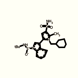 Cc1c(S(N)(=O)=O)cc(-c2cn([S+]([O-])NC(C)(C)C)c3ccccc23)n1CC1CCCCC1